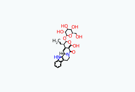 C=C[C@@H]1C2=C[C@H]3c4[nH]c5ccccc5c4CCN3C(=O)C2=C(O)O[C@H]1O[C@@H]1O[C@H](CO)[C@@H](O)[C@H](O)[C@H]1O